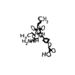 CCCn1c(=O)c2nc(-c3ccc(OCC(=O)O)cc3)n(CC(=O)NN)c2n(CCC)c1=O